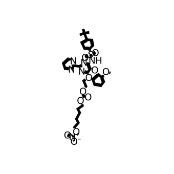 COc1ccccc1Oc1c(NS(=O)(=O)c2ccc(C(C)(C)C)cc2)nc(-c2ncccn2)nc1OCCOC(=O)OCCCCCCO[N+](=O)[O-]